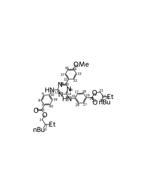 CCCCC(CC)COC(=O)c1ccc(Nc2nc(Nc3ccc(C(=O)OCC(CC)CCCC)cc3)nc(-c3ccc(OC)cc3)n2)cc1